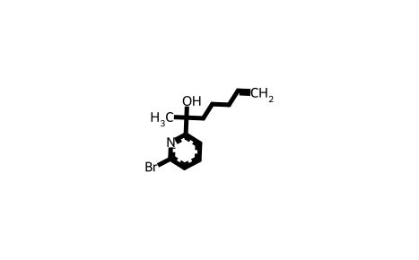 C=CCCCC(C)(O)c1cccc(Br)n1